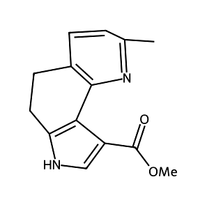 COC(=O)c1c[nH]c2c1-c1nc(C)ccc1CC2